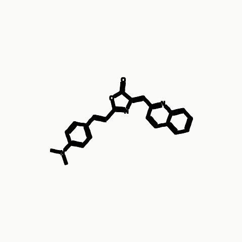 CN(C)c1ccc(/C=C/C2=NC(=C\c3ccc4ccccc4n3)/C(=O)O2)cc1